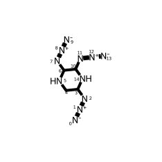 [N-]=[N+]=NC1CNC(N=[N+]=[N-])C(N=[N+]=[N-])N1